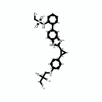 O=S(=O)(CF)Nc1ccccc1-c1ccc2[nH]c(C3CC3c3ccc(OCC(F)(F)CF)cc3)nc2c1